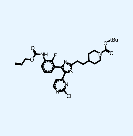 C=CCOC(=O)Nc1cccc(-c2nc(CCC3CCN(C(=O)OC(C)(C)C)CC3)sc2-c2ccnc(Cl)n2)c1F